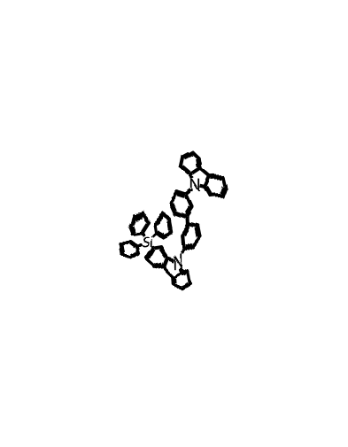 c1ccc([Si](c2ccccc2)(c2ccccc2)c2ccc3c4ccccc4n(-c4cccc(-c5cccc(-n6c7ccccc7c7ccccc76)c5)c4)c3c2)cc1